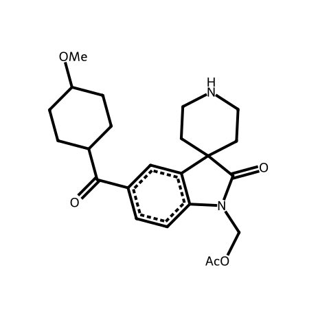 COC1CCC(C(=O)c2ccc3c(c2)C2(CCNCC2)C(=O)N3COC(C)=O)CC1